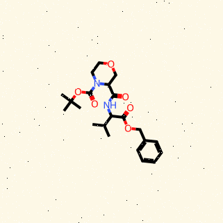 CC(C)C(NC(=O)C1COCCN1C(=O)OC(C)(C)C)C(=O)OCc1ccccc1